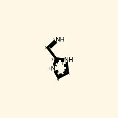 N=Cc1ncc[nH]1